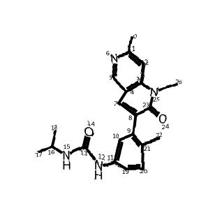 Cc1cc2c(cn1)cc(-c1cc(NC(=O)NC(C)C)ccc1C)c(=O)n2C